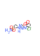 CN(c1ccnc(Nc2cccc(S(N)(=O)=O)c2)n1)c1c(Cl)ccc2c1OCO2